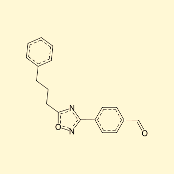 O=Cc1ccc(-c2noc(CCCc3ccccc3)n2)cc1